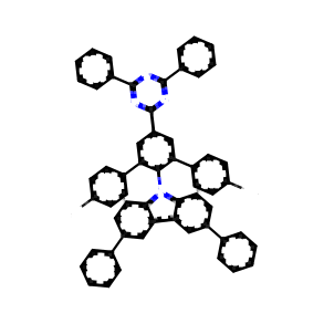 FC(F)(F)c1ccc(-c2cc(-c3nc(-c4ccccc4)nc(-c4ccccc4)n3)cc(-c3ccc(C(F)(F)F)cc3)c2-n2c3ccc(-c4ccccc4)cc3c3cc(-c4ccccc4)ccc32)cc1